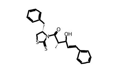 C[C@H](C(=O)N1C(=S)SC[C@@H]1Cc1ccccc1)C(O)/C=C/c1ccccc1